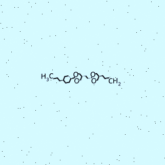 C=CCC[C@H]1CO[C@H](CC[C@H]2CO[C@H]([C@H]3CC[C@H](CCCC)CC3)OC2)OC1